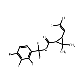 CC1(C)C(C=C(Cl)Cl)C1C(=O)OC(F)(F)c1ccc(F)c(F)c1F